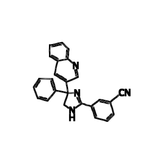 N#Cc1cccc(C2=NC(c3ccccc3)(c3cnc4ccccc4c3)CN2)c1